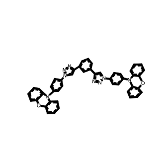 c1cc(-c2cn(-c3ccc(N4c5ccccc5Oc5ccccc54)cc3)nn2)cc(-c2cn(-c3ccc(N4c5ccccc5Oc5ccccc54)cc3)nn2)c1